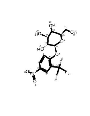 O=[N+]([O-])c1ccc(O[C@@H]2O[C@H](CO)[C@H](O)[C@H](O)[C@H]2O)c(C(F)(F)F)c1